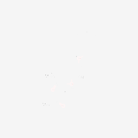 COC(=O)CCC1(C(=O)OC)CC(C)(CCOCc2ccccc2)O1